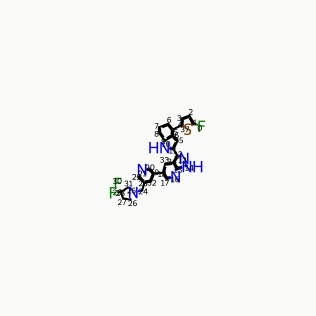 Fc1ccc(-c2cccc3[nH]c(-c4n[nH]c5ncc(-c6cncc(CN7CCC(F)(F)C7)c6)cc45)cc23)s1